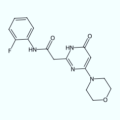 O=C(Cc1nc(N2CCOCC2)cc(=O)[nH]1)Nc1ccccc1F